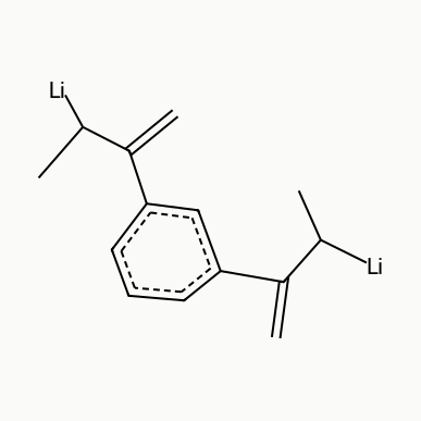 [Li][CH](C)C(=C)c1cccc(C(=C)[CH]([Li])C)c1